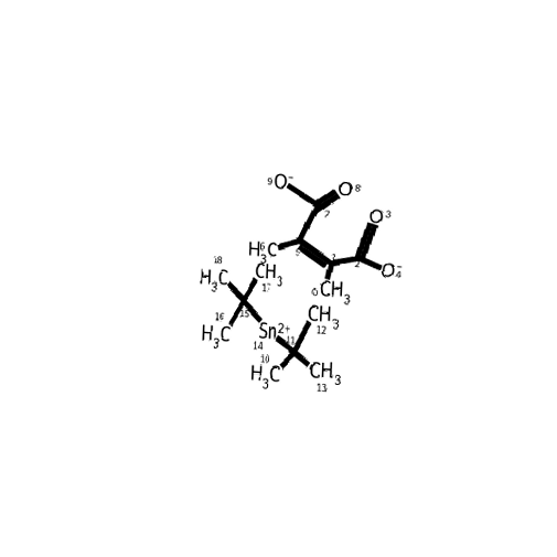 C/C(C(=O)[O-])=C(\C)C(=O)[O-].C[C](C)(C)[Sn+2][C](C)(C)C